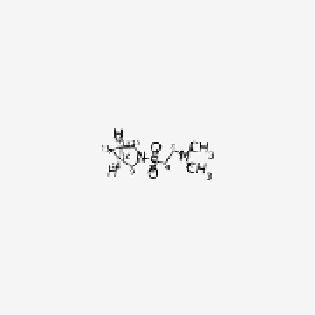 CN(C)CCS(=O)(=O)N1C[C@H]2[CH][C@H]2C1